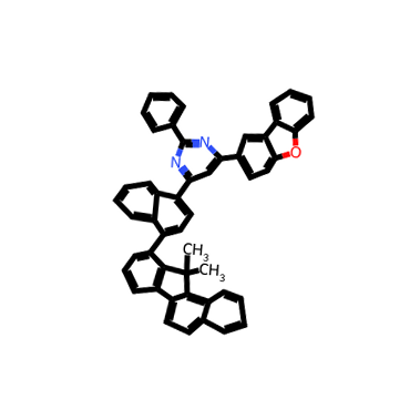 CC1(C)c2c(cccc2-c2ccc(-c3cc(-c4ccc5oc6ccccc6c5c4)nc(-c4ccccc4)n3)c3ccccc23)-c2ccc3ccccc3c21